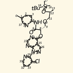 Cc1ccc(NC(=O)[C@H](COC[C@H](C)O[Si](C)(C)C(C)(C)C)Oc2ncnc3c2cnn3-c2ncccc2Cl)nc1